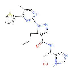 CCCc1c(C(=O)NC(CO)c2cncn2C)cnn1-c1ncc(C)c(-c2cccs2)n1